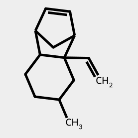 C=CC12CC(C)CCC1C1C=CC2C1